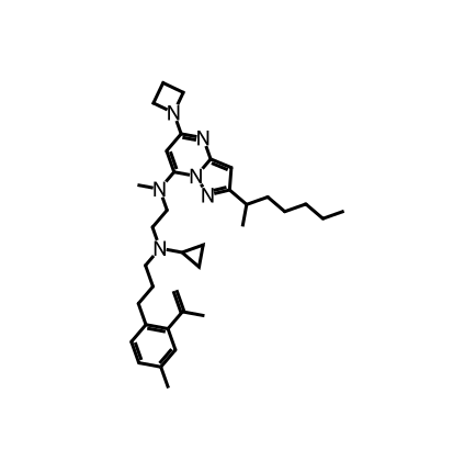 C=C(C)c1cc(C)ccc1CCCN(CCN(C)c1cc(N2CCC2)nc2cc(C(C)CCCCC)nn12)C1CC1